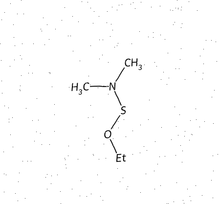 CCOSN(C)C